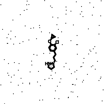 Clc1cc(CCCN2CCCN2)ccc1OC1CC1